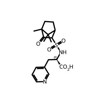 CC12CCC(C(S(=O)(=O)N[C@H](Cc3cccnc3)C(=O)O)C1=O)C2(C)C